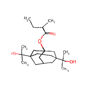 CCC(C)C(=O)OC12CC3CC(C(C)(C)O)(C1)CC(C(C)(C)O)(C3)C2